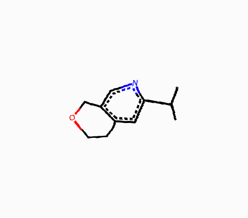 CC(C)c1cc2c(cn1)COCC2